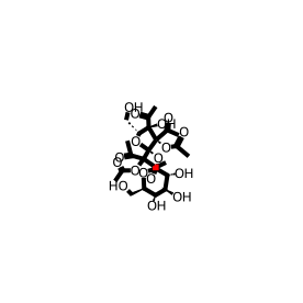 CC(=O)OC(C(C)=O)(C(C)=O)[C@@]1(O[C@H]2O[C@H](CO)[C@@H](O)[C@H](O)[C@H]2O)O[C@H](CO)[C@](O)(C(C)=O)[C@@]1(OC(C)=O)C(C)=O